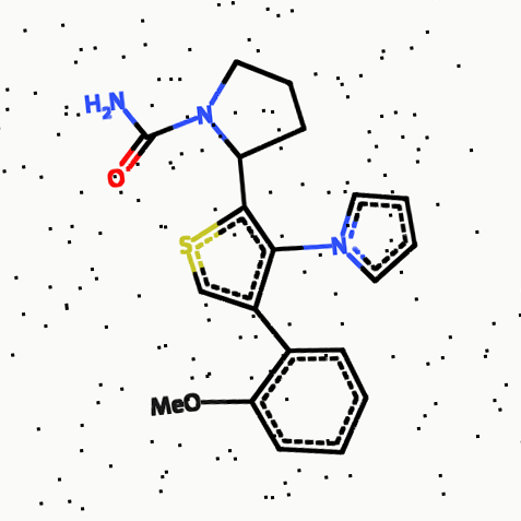 COc1ccccc1-c1csc(C2CCCN2C(N)=O)c1-n1cccc1